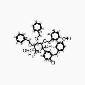 CCOc1ccc(Cc2cc([C@]3(O)O[C@](C)(C=O)[C@@H](OCc4ccccc4)[C@H](OCc4ccccc4)[C@H]3OCc3ccccc3)ccc2Cl)cc1